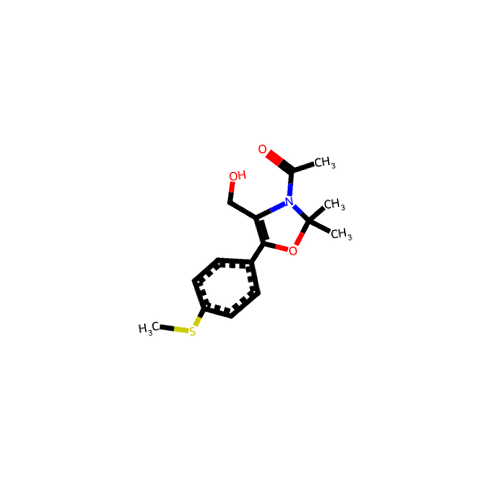 CSc1ccc(C2=C(CO)N(C(C)=O)C(C)(C)O2)cc1